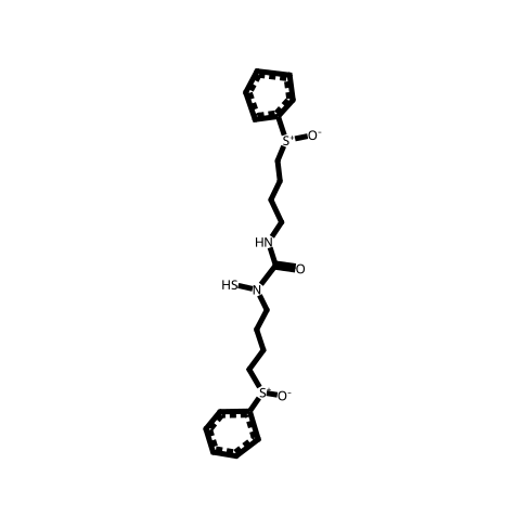 O=C(NCCCC[S+]([O-])c1ccccc1)N(S)CCCC[S+]([O-])c1ccccc1